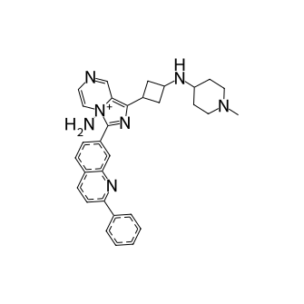 CN1CCC(NC2CC(C3=C4C=NC=C[N+]4(N)C(c4ccc5ccc(-c6ccccc6)nc5c4)=N3)C2)CC1